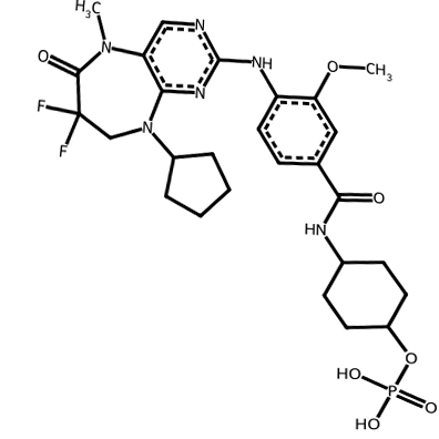 COc1cc(C(=O)NC2CCC(OP(=O)(O)O)CC2)ccc1Nc1ncc2c(n1)N(C1CCCC1)CC(F)(F)C(=O)N2C